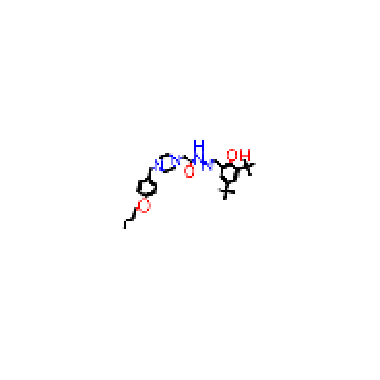 CCCCOc1ccc(CN2CCN(CC(=O)N/N=C/c3cc(C(C)(C)C)cc(C(C)(C)C)c3O)CC2)cc1